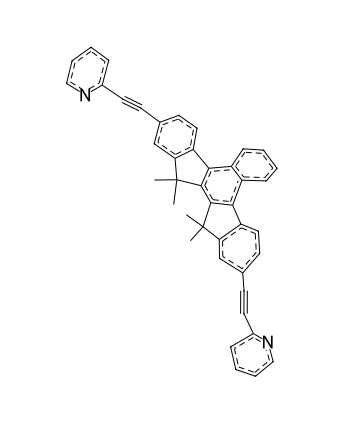 CC1(C)c2cc(C#Cc3ccccn3)ccc2-c2c1c1c(c3ccccc23)-c2ccc(C#Cc3ccccn3)cc2C1(C)C